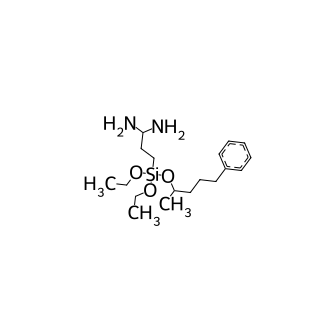 CCO[Si](CCC(N)N)(OCC)OC(C)CCCc1ccccc1